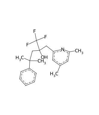 Cc1cc(C)nc(CC(O)(CC(C)(C)c2ccccc2)C(F)(F)F)c1